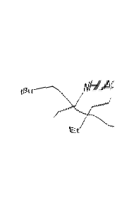 CCC(C)(C)C(C)(CC(C)(C)C)NC(C)=O